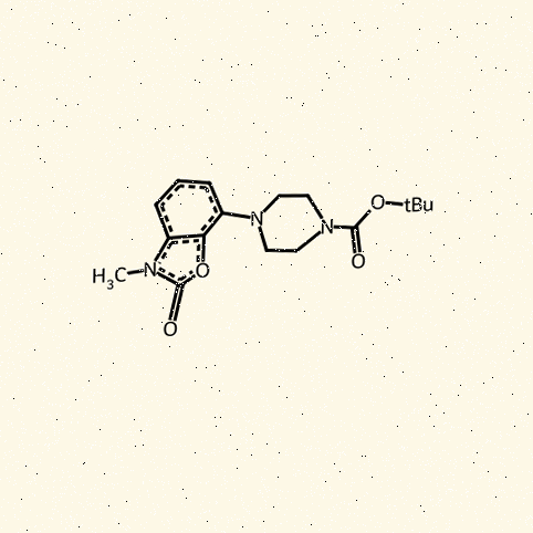 Cn1c(=O)oc2c(N3CCN(C(=O)OC(C)(C)C)CC3)cccc21